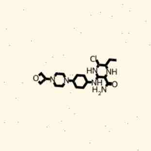 CCC1NC(C(N)=O)C(NC2CCC(N3CCN(C4COC4)CC3)CC2)NC1Cl